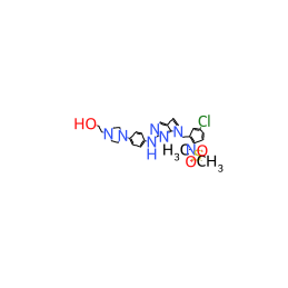 CN(c1ccc(Cl)cc1Cn1ccc2cnc(Nc3ccc(N4CCN(CCO)CC4)cc3)nc21)S(C)(=O)=O